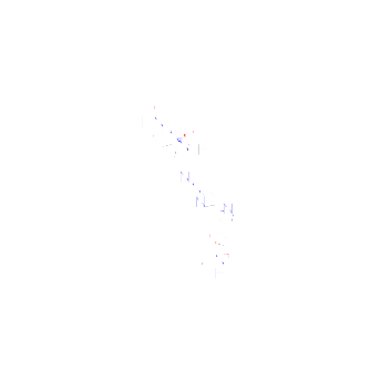 C[C@@H]1Cc2oc(-c3ccnc(-c4ccc(N5CCN(CCc6cccc7c6n(C)c(=O)n7C6CCC(=O)NC6=O)CC5)nc4)c3)cc2C(=O)N1